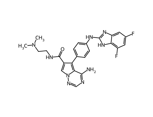 CN(C)CCNC(=O)c1cn2ncnc(N)c2c1-c1ccc(Nc2nc3cc(F)cc(F)c3[nH]2)cc1